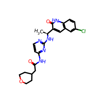 C[C@H](Nc1nccc(NC(=O)CC2CCOCC2)n1)c1cc2cc(Cl)ccc2[nH]c1=O